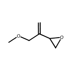 C=C(COC)C1CO1